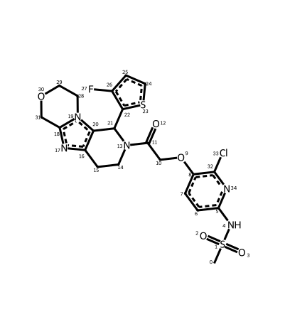 CS(=O)(=O)Nc1ccc(OCC(=O)N2CCc3nc4n(c3C2c2sccc2F)CCOC4)c(Cl)n1